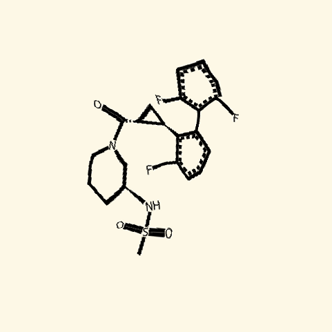 CS(=O)(=O)N[C@H]1CCCN(C(=O)[C@@H]2C[C@H]2c2c(F)cccc2-c2c(F)cccc2F)C1